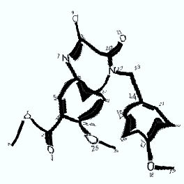 COC(=O)c1cc2nc(Cl)c(=O)n(Cc3ccc(OC)cc3)c2cc1OC